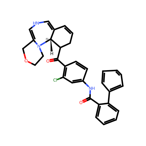 O=C(Nc1ccc(C(=O)C2CC=CC3=CNC=C4COCCN4[C@H]32)c(Cl)c1)c1ccccc1-c1ccccc1